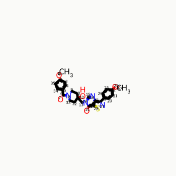 COc1ccc(C(=O)N2CCC(O)(Cn3cnc4c(-c5ccc(OC)cc5)nsc4c3=O)CC2)cc1